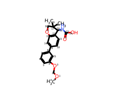 COCOc1cccc(-c2ccc3c(c2)OCC(C)(C)C3NC(=O)O)c1